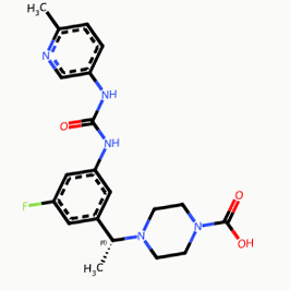 Cc1ccc(NC(=O)Nc2cc(F)cc([C@@H](C)N3CCN(C(=O)O)CC3)c2)cn1